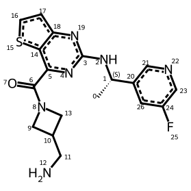 C[C@H](Nc1nc(C(=O)N2CC(CN)C2)c2sccc2n1)c1cncc(F)c1